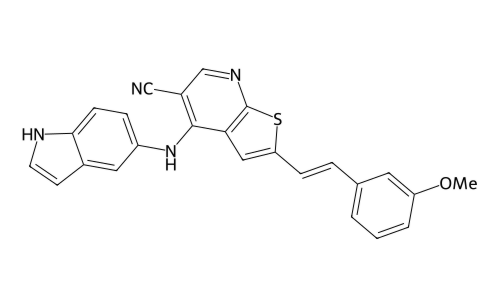 COc1cccc(/C=C/c2cc3c(Nc4ccc5[nH]ccc5c4)c(C#N)cnc3s2)c1